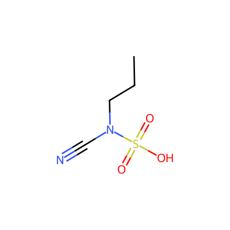 CCCN(C#N)S(=O)(=O)O